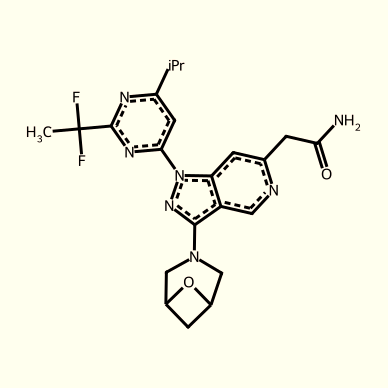 CC(C)c1cc(-n2nc(N3CC4CC(C3)O4)c3cnc(CC(N)=O)cc32)nc(C(C)(F)F)n1